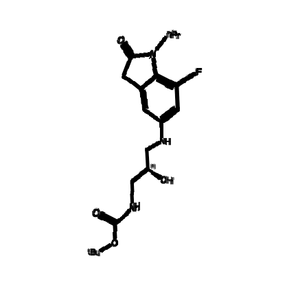 CCCN1C(=O)Cc2cc(NC[C@@H](O)CNC(=O)OC(C)(C)C)cc(F)c21